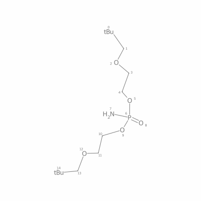 CC(C)(C)COCCOP(N)(=O)OCCOCC(C)(C)C